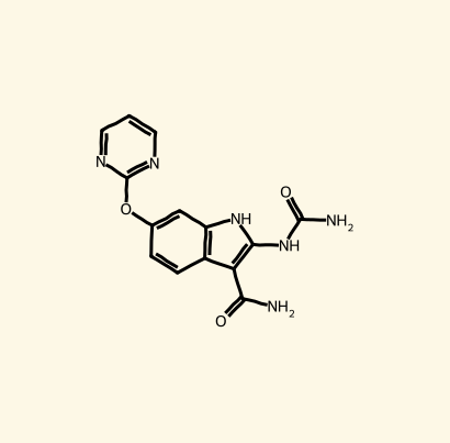 NC(=O)Nc1[nH]c2cc(Oc3ncccn3)ccc2c1C(N)=O